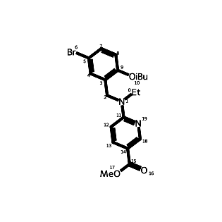 CCN(Cc1cc(Br)ccc1OCC(C)C)c1ccc(C(=O)OC)cn1